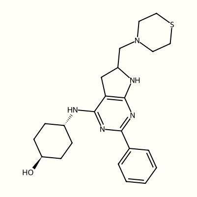 O[C@H]1CC[C@H](Nc2nc(-c3ccccc3)nc3c2CC(CN2CCSCC2)N3)CC1